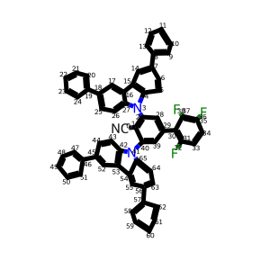 N#Cc1c(-n2c3ccc(-c4ccccc4)cc3c3cc(-c4ccccc4)ccc32)cc(-c2c(F)ccc(F)c2F)cc1-n1c2ccc(-c3ccccc3)cc2c2cc(-c3ccccc3)ccc21